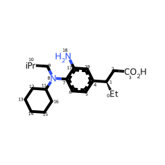 CC[C@H](CC(=O)O)c1ccc(N(CC(C)C)C2CCCCC2)c(N)c1